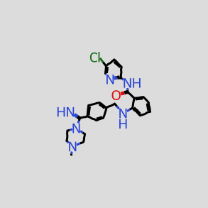 CN1CCN(C(=N)c2ccc(CNc3ccccc3C(=O)Nc3ccc(Cl)cn3)cc2)CC1